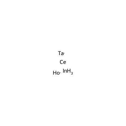 [Ce].[Ho].[InH3].[Ta]